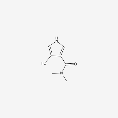 CN(C)C(=O)c1c[nH]cc1O